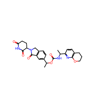 CC(NC(=O)OC(C)c1ccc2c(c1)C(=O)N(C1CCC(=O)NC1=O)C2)c1ccc2c(n1)OCCC2